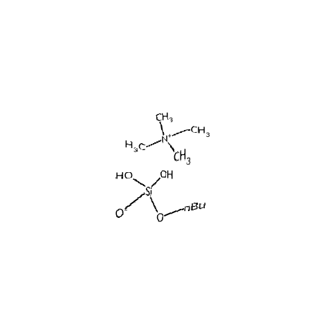 CCCCO[Si]([O-])(O)O.C[N+](C)(C)C